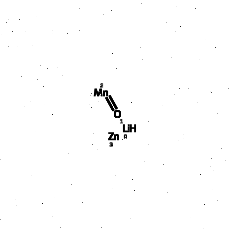 [LiH].[O]=[Mn].[Zn]